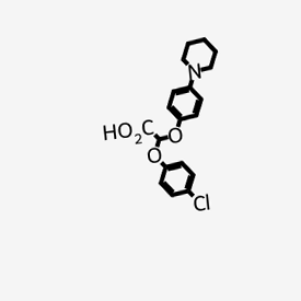 O=C(O)C(Oc1ccc(Cl)cc1)Oc1ccc(N2CCCCC2)cc1